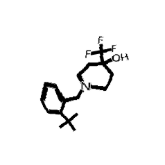 CC(C)(C)c1ccccc1CN1CCC(O)(C(F)(F)F)CC1